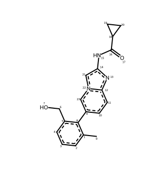 Cc1cccc(CO)c1-c1ccc2nc(NC(=O)C3CC3)cn2c1